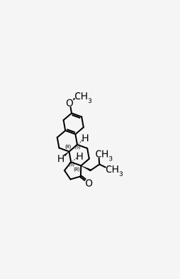 COC1=CCC2=C(CC[C@@H]3[C@@H]2CC[C@]2(CC(C)C)C(=O)CC[C@@H]32)C1